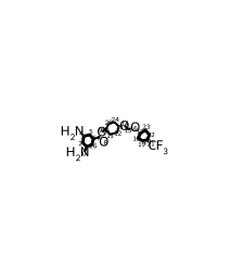 Nc1cc(N)cc(C(=O)OC2CCC(OCOc3ccc(C(F)(F)F)cc3)CC2)c1